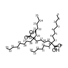 CCCCCCCCC(CCCCCC)(CCCCC(CCCCCC)(CCCCCCCC)C(=O)O)C(=O)O